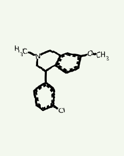 COc1ccc2c(c1)CN(C)CC2c1cccc(Cl)c1